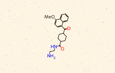 COc1ccc(C(=O)C2CCC(C(=O)NCCN)CC2)c2ccccc12